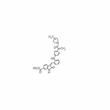 COC(=O)c1ccc2c(c1)NC(=O)C2=Cc1ccccc1Nc1ccc(N(C)C(=O)CN2CCN(C)CC2)cc1